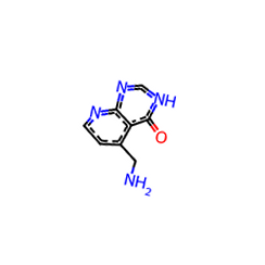 NCc1ccnc2nc[nH]c(=O)c12